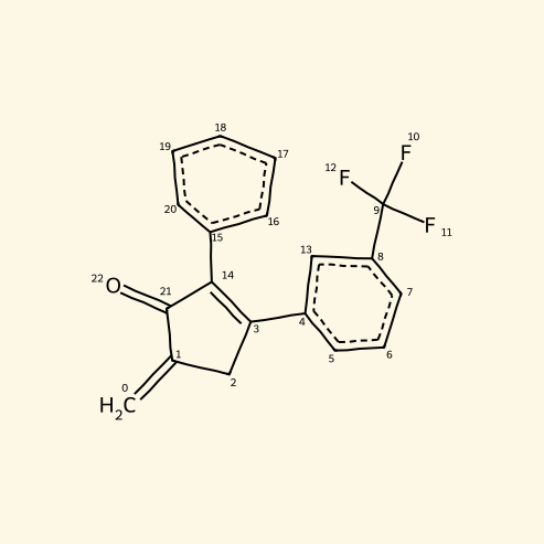 C=C1CC(c2cccc(C(F)(F)F)c2)=C(c2ccccc2)C1=O